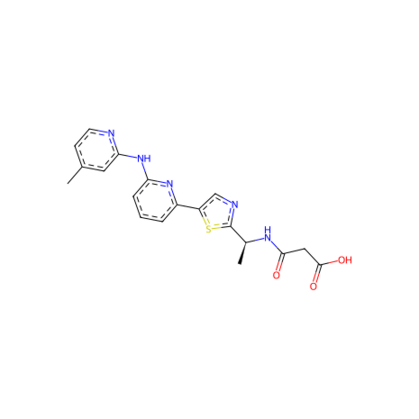 Cc1ccnc(Nc2cccc(-c3cnc([C@H](C)NC(=O)CC(=O)O)s3)n2)c1